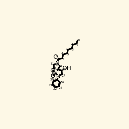 CCCCCCCCC(=O)N1CC[C@@]2(C1)[C@@H](O)CN(c1ccccc1)S2(=O)=O